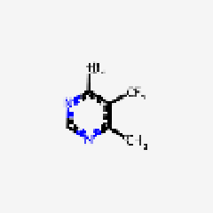 Cc1ncnc(C(C)(C)C)c1C(F)(F)F